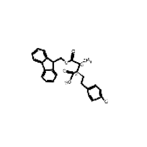 C[C@@H](C(=O)OCC1c2ccccc2-c2ccccc21)[C@@H](CCc1ccc(Cl)cc1)C(=O)O